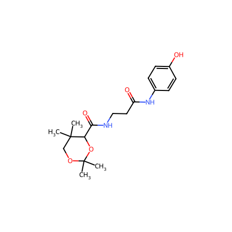 CC1(C)OCC(C)(C)C(C(=O)NCCC(=O)Nc2ccc(O)cc2)O1